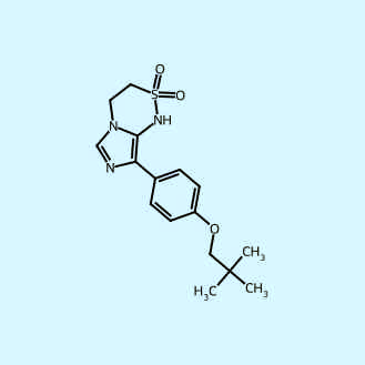 CC(C)(C)COc1ccc(-c2ncn3c2NS(=O)(=O)CC3)cc1